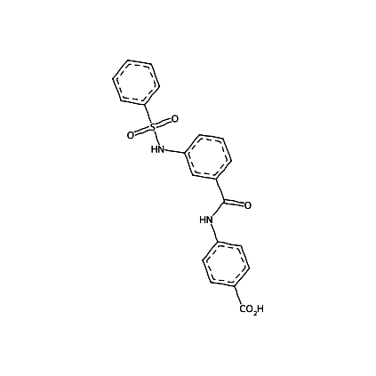 O=C(O)c1ccc(NC(=O)c2cccc(NS(=O)(=O)c3ccccc3)c2)cc1